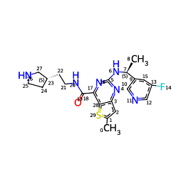 Cc1cc2nc(N[C@@H](C)c3cncc(F)c3)nc(C(=O)NCC[C@@H]3CCNC3)c2s1